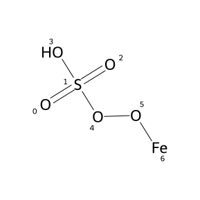 O=S(=O)(O)O[O][Fe]